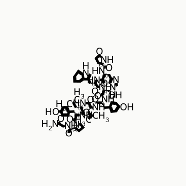 CC(C)C[C@H](NC(=O)[C@@H](CC(C)C)NC(=O)[C@H](Cc1ccc(O)cc1)NC(=O)[C@H](CO)NC(=O)[C@H](Cc1c[nH]c2ccccc12)NC(=O)[C@H](Cc1c[nH]cn1)NC(=O)[C@@H]1CCC(=O)N1)C(=O)N[C@@H](Cc1ccc(O)cc1)C(=O)N1CCC[C@H]1C(=O)NCC(N)=O